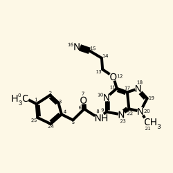 Cc1ccc(CC(=O)Nc2nc(OCCC#N)c3ncn(C)c3n2)cc1